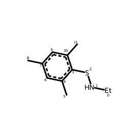 CCNSc1c(C)cc(C)cc1C